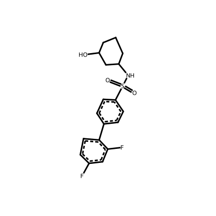 O=S(=O)(NC1CCCC(O)C1)c1ccc(-c2ccc(F)cc2F)cc1